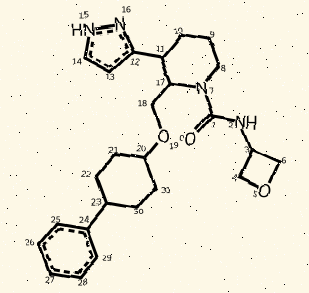 O=C(NC1COC1)N1CCCC(c2cc[nH]n2)C1COC1CCC(c2ccccc2)CC1